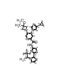 COC1(C)CN(c2cnc(C(=O)Nc3csc(-c4nccn4[C@@H](C)C(F)(F)F)n3)cc2-n2cnc(C3CC3)c2)C1